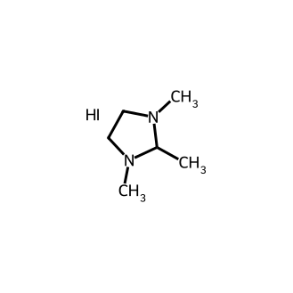 CC1N(C)CCN1C.I